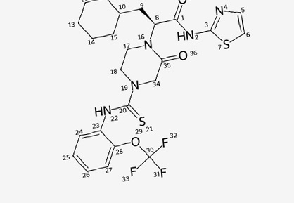 O=C(Nc1nccs1)[C@H](CC1CCCCC1)N1CCN(C(=S)Nc2ccccc2OC(F)(F)F)CC1=O